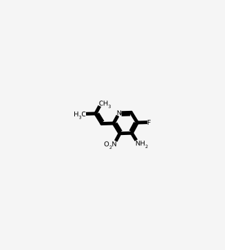 CC(C)=Cc1ncc(F)c(N)c1[N+](=O)[O-]